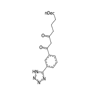 CCCCCCCCCCCCCC(=O)CC(=O)c1cccc(-c2nnn[nH]2)c1